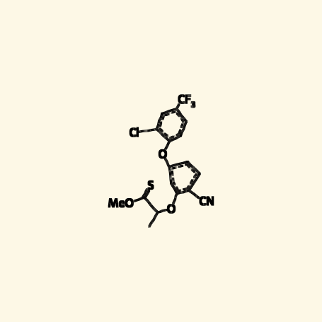 COC(=S)C(C)Oc1cc(Oc2ccc(C(F)(F)F)cc2Cl)ccc1C#N